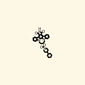 O=C1NC(=O)c2c1c1c3ccccc3n3c1c1c2c2ccccc2n1CC(OC(=O)N1CCC(C2CCCCC2)CC1)CC3